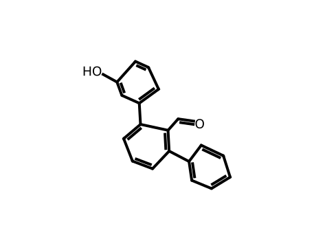 O=Cc1c(-c2ccccc2)cccc1-c1cccc(O)c1